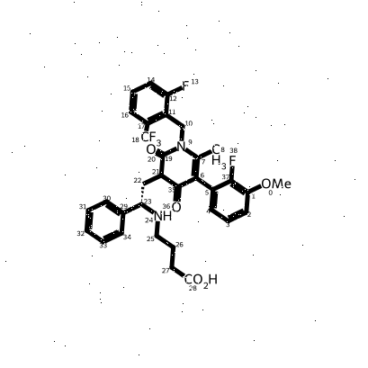 COc1cccc(C2=C(C)N(Cc3c(F)cccc3C(F)(F)F)C(=O)C(C[C@H](NCCCC(=O)O)c3ccccc3)C2=O)c1F